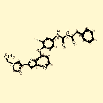 CCn1cnc(-c2cc3nccc(Oc4ccc(NC(=O)NC(=O)Cc5ccccc5)cc4F)c3s2)c1